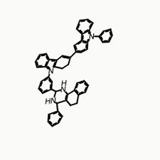 C1=C(c2ccc3c(c2)c2ccccc2n3-c2ccccc2)CCc2c1c1ccccc1n2-c1cccc(C2NC3=C(CCc4ccccc43)C(c3ccccc3)N2)c1